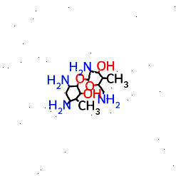 CC1C(CN)OC(OC2C(N)CC(N)C(C)C2O)C(N)C1O